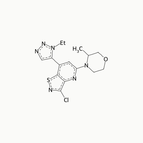 CCn1nncc1-c1cc(N2CCOCC2C)nc2c(Cl)nsc12